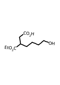 CCOC(=O)C(CCCCO)CC(=O)O